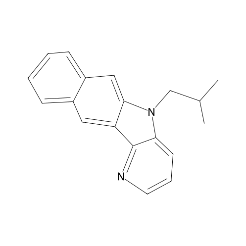 CC(C)Cn1c2cc3ccccc3cc2c2ncccc21